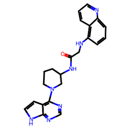 O=C(CNc1cccc2ncccc12)NC1CCCN(c2ncnc3[nH]ccc23)C1